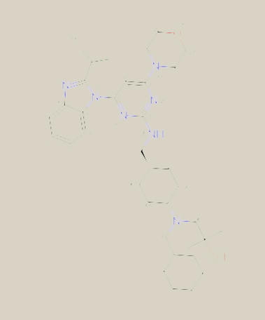 CC(C)(O)CN(CC1CCCCC1)[C@H]1CC[C@H](CNc2nc(N3CCOCC3)cc(-n3c(C(F)F)nc4ccccc43)n2)CC1